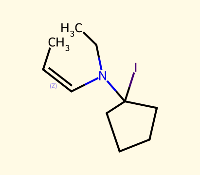 C/C=C\N(CC)C1(I)CCCC1